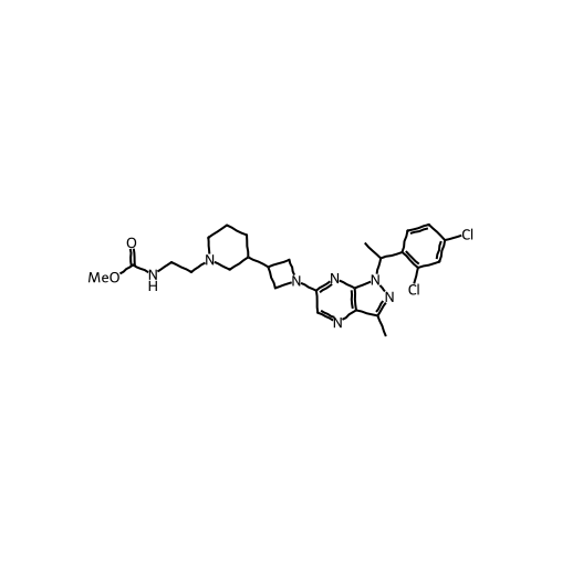 COC(=O)NCCN1CCCC(C2CN(c3cnc4c(C)nn(C(C)c5ccc(Cl)cc5Cl)c4n3)C2)C1